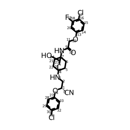 N#C[C@@H](CNC12CCC(NC(=O)COc3ccc(Cl)c(F)c3)(CC1)C(O)C2)Oc1ccc(Cl)cc1